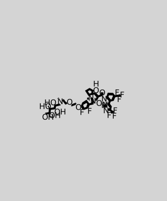 CN(CCOCCOc1ccc(CN2C(=O)C(C(=O)Nc3ccc(C(F)(F)F)cc3-c3cc(C(F)(F)F)ncn3)=C(O)C3(CCCC3)N2C)c(F)c1F)C[C@H](O)[C@@H](O)[C@H](O)[C@H](O)CO